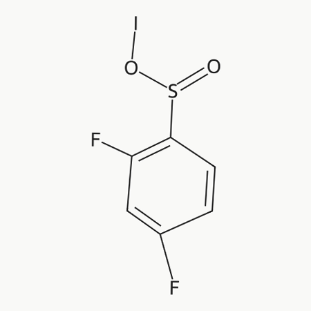 O=S(OI)c1ccc(F)cc1F